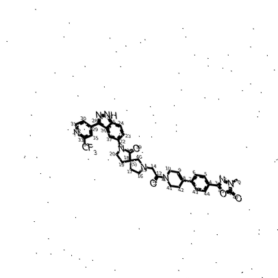 Cn1nc(-c2ccc(C3=CCN(C(=O)CN4CC[C@]5(CCN(c6ccc7[nH]nc(-c8ccnc(C(F)(F)F)c8)c7c6)C5=O)C4)CC3)cc2)oc1=O